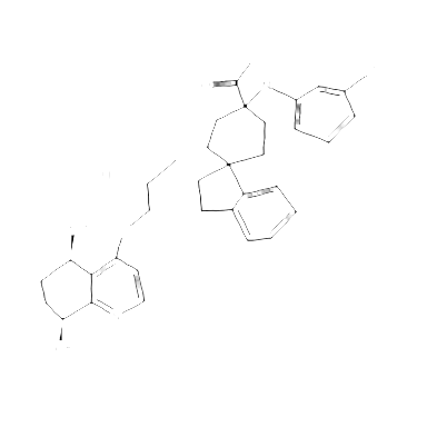 C[C@@H](COc1ccnc2c1[C@H](C)CC[C@@H]2O)C[C@H]1Cc2ccccc2C12CCC(Nc1cccc(Cl)c1)(C(=O)O)CC2